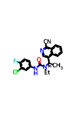 CCN(C(=O)Nc1ccc(F)c(Cl)c1)[C@H](C)c1cnc(C#N)c2ccccc12